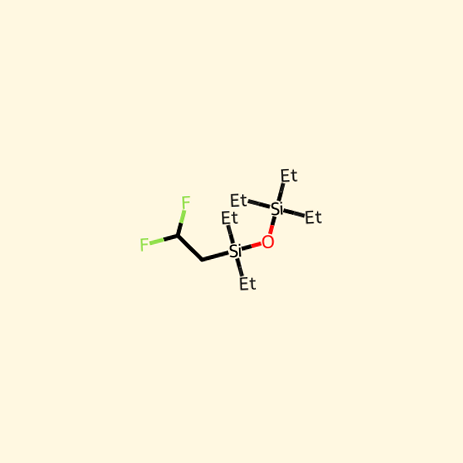 CC[Si](CC)(CC)O[Si](CC)(CC)CC(F)F